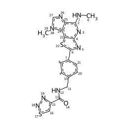 CNc1nc2nc(-c3ccc(CNC(=O)c4csnn4)cc3)sc2c2c1ncn2C